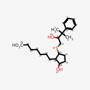 CC(C)(c1ccccc1)C(O)CSC1CCC(O)C1CCCCCCC(=O)O